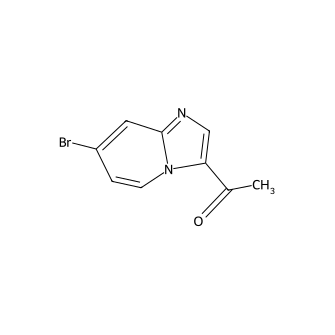 CC(=O)c1cnc2cc(Br)ccn12